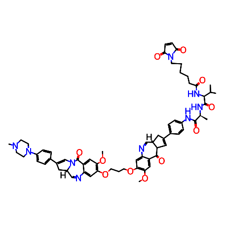 COc1cc2c(cc1OCCCOc1cc3c(cc1OC)C(=O)N1C=C(c4ccc(N5CCN(C)CC5)cc4)C[C@H]1C=N3)N=C[C@@H]1CC(c3ccc(NC(=O)[C@H](C)NC(=O)C(NC(=O)CCCCCN4C(=O)C=CC4=O)C(C)C)cc3)=CC1C2=O